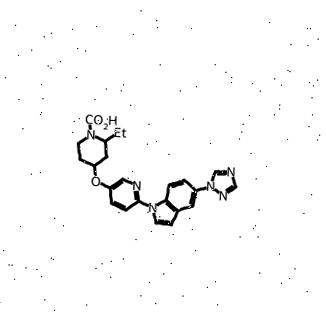 CCC1CC(Oc2ccc(-n3ccc4cc(-n5cncn5)ccc43)nc2)CCN1C(=O)O